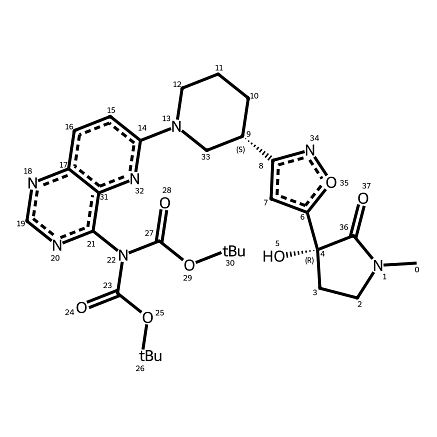 CN1CC[C@@](O)(c2cc([C@H]3CCCN(c4ccc5ncnc(N(C(=O)OC(C)(C)C)C(=O)OC(C)(C)C)c5n4)C3)no2)C1=O